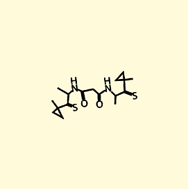 CC(NC(=O)CC(=O)NC(C)C(=S)C1(C)CC1)C(=S)C1(C)CC1